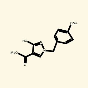 COC(=O)c1cn(Cc2ccc(OC)cc2)nc1O